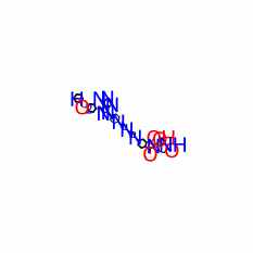 Nc1ncnc2c1c(-c1ccc(Oc3ccccc3)cc1)nn2C1CCN(C2CN(C3CN(c4ccc5c(c4)C(O)N(C4CCC(=O)NC4=O)C5=O)C3)C2)CC1